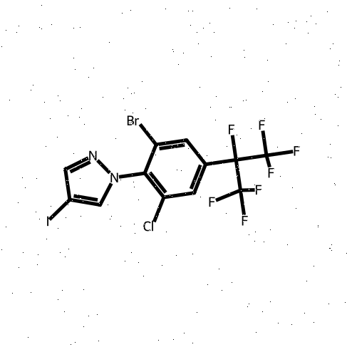 FC(F)(F)C(F)(c1cc(Cl)c(-n2cc(I)cn2)c(Br)c1)C(F)(F)F